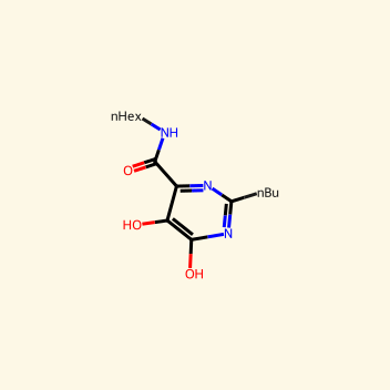 CCCCCCNC(=O)c1nc(CCCC)nc(O)c1O